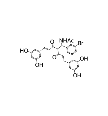 CC(=O)NC(c1cccc(Br)c1)C(C(=O)/C=C/c1cc(O)cc(O)c1)C(=O)/C=C/c1cc(O)cc(O)c1